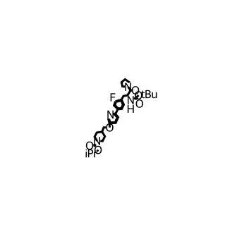 CC(C)OC(=O)N1CCC(COc2ccc(-c3ccc(CC(NC(=O)OC(C)(C)C)C(=O)N4CCCC4)c(F)c3)nc2)CC1